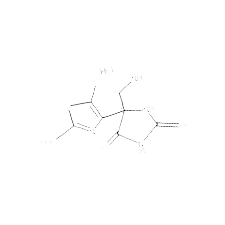 Cc1nc(C2(CN)NC(=O)NC2=O)c(C)s1.Cl